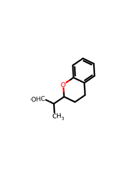 CC([C]=O)C1CCc2ccccc2O1